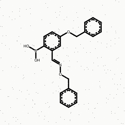 OB(O)c1ccc(OCc2ccccc2)cc1/C=N/OCc1ccccc1